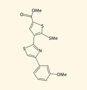 COC(=O)c1cc(-c2nc(-c3cc[c]c(OC)c3)cs2)c(SC)s1